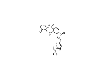 O=C1C=CC=C2C1=CNc1cc(C(=O)NCc3cnc(C(F)(F)F)s3)ccc1S2(=O)=O